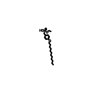 CCCCCCCCCCCCOc1ccc(CP(=O)(O)OCC)cc1